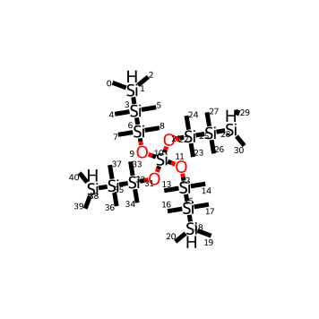 C[SiH](C)[Si](C)(C)[Si](C)(C)O[Si](O[Si](C)(C)[Si](C)(C)[SiH](C)C)(O[Si](C)(C)[Si](C)(C)[SiH](C)C)O[Si](C)(C)[Si](C)(C)[SiH](C)C